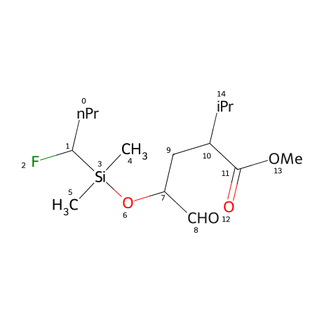 CCCC(F)[Si](C)(C)OC(C=O)CC(C(=O)OC)C(C)C